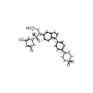 O=C(O)CN(c1ccc2c(ccn2-c2ccc(N3CCS(=O)(=O)CC3)nn2)c1)S(=O)(=O)C1C=C(Cl)C=C(Cl)C1